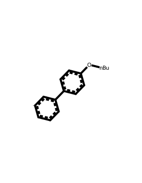 CCCCOc1ccc(-c2c[c]ccc2)cc1